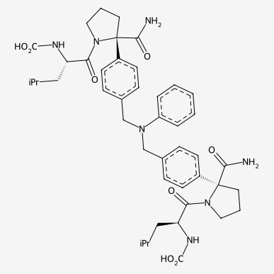 CC(C)C[C@H](NC(=O)O)C(=O)N1CCC[C@@]1(C(N)=O)c1ccc(CN(Cc2ccc([C@]3(C(N)=O)CCCN3C(=O)[C@H](CC(C)C)NC(=O)O)cc2)c2ccccc2)cc1